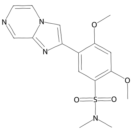 COc1cc(OC)c(S(=O)(=O)N(C)C)cc1-c1cn2ccncc2n1